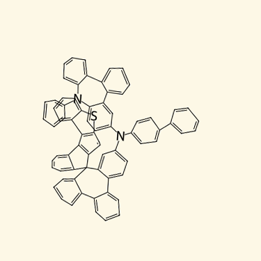 c1ccc(-c2ccc(N(c3ccc4c(c3)-c3ccccc3-c3ccccc3N4c3ccccc3)c3ccc4c(c3)C3(c5ccccc5-c5ccccc5-4)c4ccccc4-c4c3ccc3sc5ccccc5c43)cc2)cc1